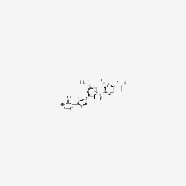 Cc1cc(-n2ccc(N3CCNC3=O)n2)c2c(n1)N(c1ccc(OC(F)F)cc1C)CC2